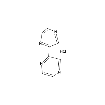 Cl.c1cnc(-c2cnccn2)cn1